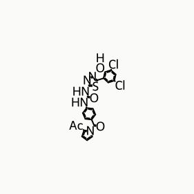 CC(=O)c1cccn1C(=O)c1ccc(NC(=O)Nc2nnc(-c3cc(Cl)cc(Cl)c3O)s2)cc1